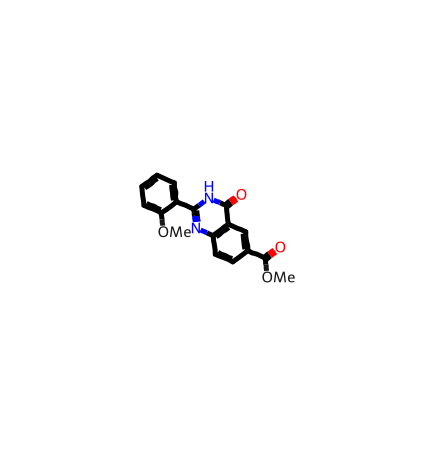 COC(=O)c1ccc2nc(-c3ccccc3OC)[nH]c(=O)c2c1